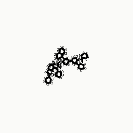 C1=Cc2c(n(-c3ccccc3)c3ccc(-c4ccc5c(c4)c4c6ccccc6ccc4n5-c4nc(-c5ccccc5)c5c(ccc6cc(-c7ccccc7)sc65)n4)cc23)CC1